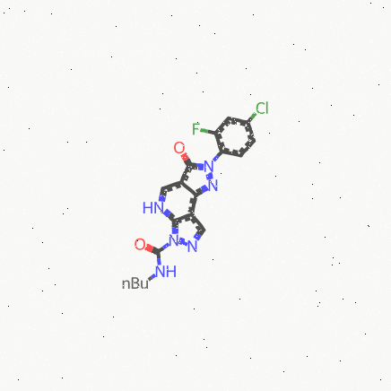 CCCCNC(=O)n1ncc2c3nn(-c4ccc(Cl)cc4F)c(=O)c-3c[nH]c21